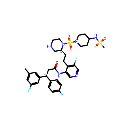 Cc1cc(F)cc([C@@H](CC(=O)Nc2cncc(F)c2CC[C@H]2CNCCN2S(=O)(=O)N2CCC(NS(C)(=O)=O)CC2)c2ccc(F)cc2)c1